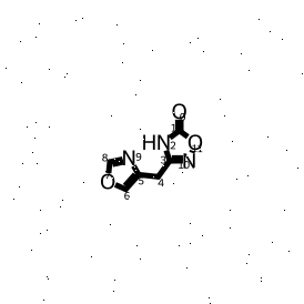 O=c1[nH]c(Cc2cocn2)no1